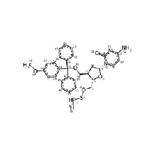 [3H]PSOC[C@H]1O[C@@H](n2ccc(N)nc2=O)C[C@@H]1COC(c1ccccc1)(c1ccccc1)c1ccc(OC)cc1